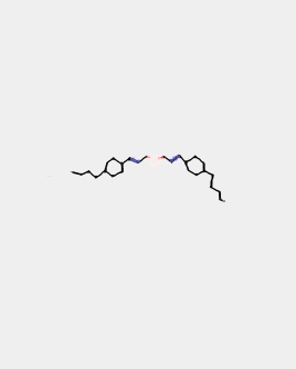 CCCCCC1CCC(/C=C/COC/C=C/C2CCC(CCCCC)CC2)CC1